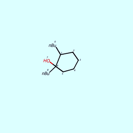 CCCCC1CCCCC1(O)CCCC